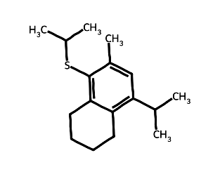 Cc1cc(C(C)C)c2c(c1SC(C)C)CCCC2